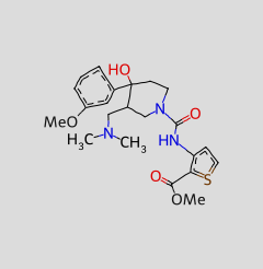 COC(=O)c1sccc1NC(=O)N1CCC(O)(c2cccc(OC)c2)C(CN(C)C)C1